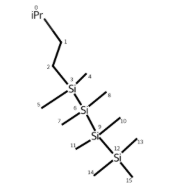 CC(C)CC[Si](C)(C)[Si](C)(C)[Si](C)(C)[Si](C)(C)C